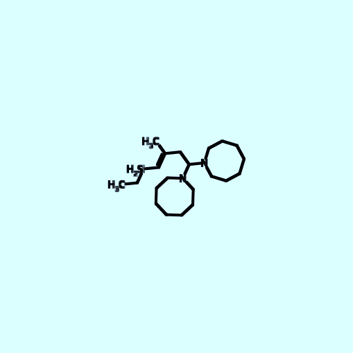 CC[SiH2]C=C(C)CC(N1CCCCCCC1)N1CCCCCCC1